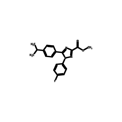 COC(=O)c1nc(-c2ccc(C(C)C)cc2)n(-c2ccc(F)cc2)n1